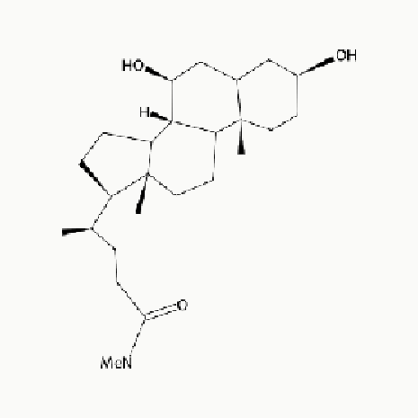 CNC(=O)CC[C@@H](C)[C@H]1CCC2[C@H]3C(CC[C@@]21C)[C@@]1(C)CC[C@H](O)CC1C[C@@H]3O